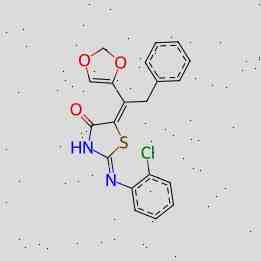 O=C1NC(=Nc2ccccc2Cl)SC1=C(Cc1ccccc1)C1=COCO1